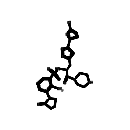 Cc1c(N2CCCC2=O)cccc1S(=O)(=O)N[C@@H](Cc1cc(-c2ccc(Cl)s2)on1)C(=O)N1CCNCC1